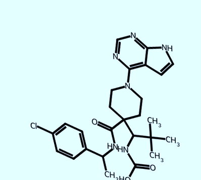 CC(NC(=O)C1(C(NC(=O)O)C(C)(C)C)CCN(c2ncnc3[nH]ccc23)CC1)c1ccc(Cl)cc1